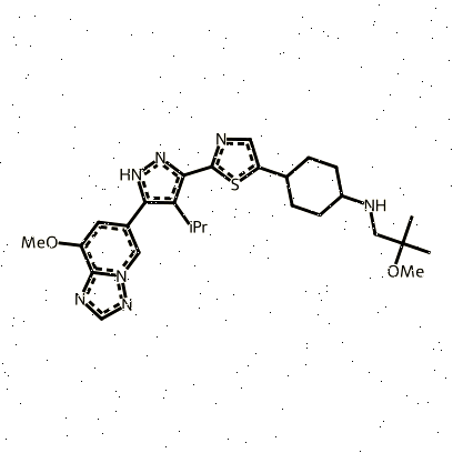 COc1cc(-c2[nH]nc(-c3ncc(C4CCC(NCC(C)(C)OC)CC4)s3)c2C(C)C)cn2ncnc12